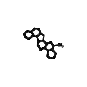 Cc1cc2c3c(cnc2c2ccccc12)-c1c(ccc2ccccc12)C3